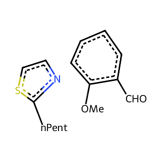 CCCCCc1nccs1.COc1ccccc1C=O